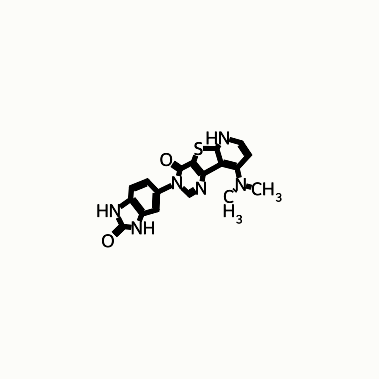 CN(C)C1=C2c3ncn(-c4ccc5[nH]c(=O)[nH]c5c4)c(=O)c3SC2NC=C1